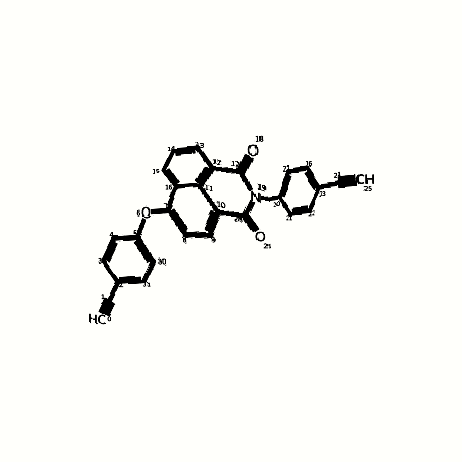 C#Cc1ccc(Oc2ccc3c4c(cccc24)C(=O)N(c2ccc(C#C)cc2)C3=O)cc1